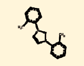 Cc1ccccc1N1[C]N(c2ccccc2C)C=C1